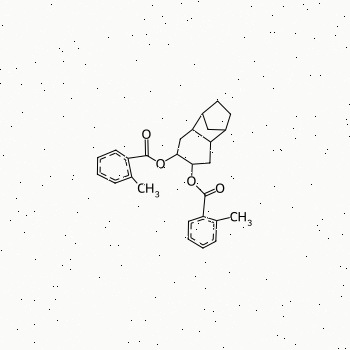 Cc1ccccc1C(=O)OC1CC2C3CCC(C3)C2CC1OC(=O)c1ccccc1C